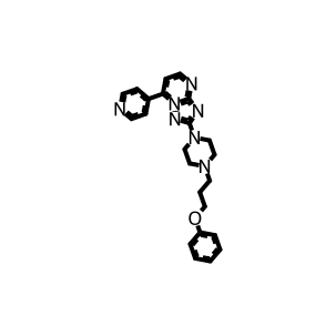 c1ccc(OCCCN2CCN(c3nc4nccc(-c5ccncc5)n4n3)CC2)cc1